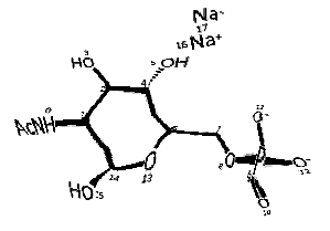 CC(=O)NC1C(O)[C@H](O)C(COP(=O)([O-])[O-])O[C@H]1O.[Na+].[Na+]